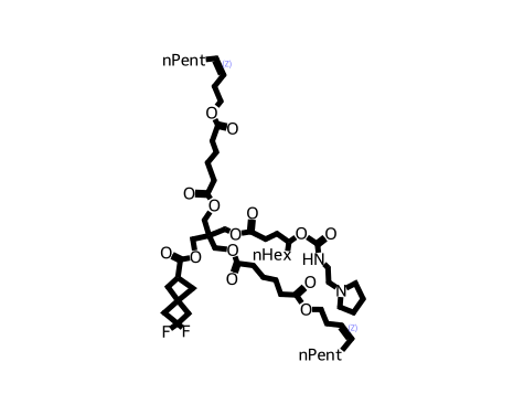 CCCCC/C=C\CCOC(=O)CCCCC(=O)OCC(COC(=O)CCCCC(=O)OCC/C=C\CCCCC)(COC(=O)CCC(CCCCCC)OC(=O)NCCN1CCCC1)COC(=O)C1CC2(C1)CC(F)(F)C2